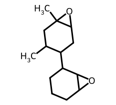 CC1CC2(C)OC2CC1C1CCCC2OC21